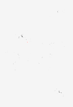 CCCCc1ccc(N2B3c4oc5ccccc5c4N(c4ccc(CCCC)cc4-c4ccccc4)c4cc(C)cc(c43)-c3c2ccc2oc4ccccc4c32)cc1